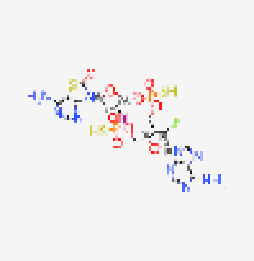 Nc1ncnc2c1ncn2[C@@H]1O[C@H](COP(=O)(O)S)C(COP(=O)(S)OC[C@H]2O[C@@H](n3c(=O)sc4c(N)ncnc43)CC2I)[C@H]1F